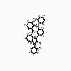 Cc1ccccc1-n1c(C)c2c3c(cccc31)B1c3cccc4c3N(c3ccccc3O4)c3cccc-2c31